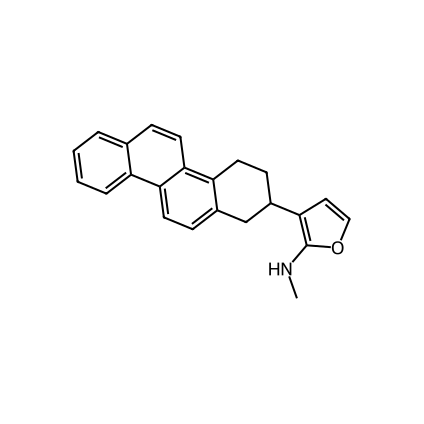 CNc1occc1C1CCc2c(ccc3c2ccc2ccccc23)C1